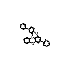 c1ccc(-c2ccc3c(c2)B2c4ccccc4Oc4cc(-c5ccccn5)cc(c42)O3)cc1